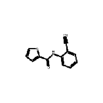 C#Cc1ccccc1NC(=O)c1ccco1